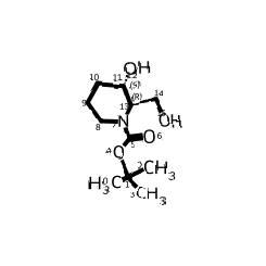 CC(C)(C)OC(=O)N1CCC[C@H](O)[C@H]1CO